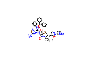 Nc1nc(/C(=N/OC(c2ccccc2)(c2ccccc2)c2ccccc2)C(=O)N[C@@H]2C(=O)N3C(C(=O)O)=C(/C=C4\CCN([C@@H]5CCNC5)C4=O)CS[C@H]23)ns1